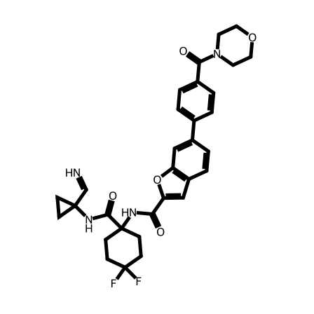 N=CC1(NC(=O)C2(NC(=O)c3cc4ccc(-c5ccc(C(=O)N6CCOCC6)cc5)cc4o3)CCC(F)(F)CC2)CC1